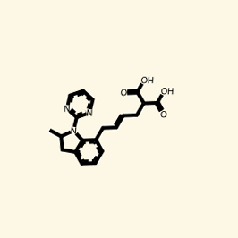 CC1Cc2cccc(CC=CCC(C(=O)O)C(=O)O)c2N1c1ncccn1